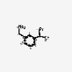 CCC(c1ccnc(CC(C)(C)C)c1)C(C)C